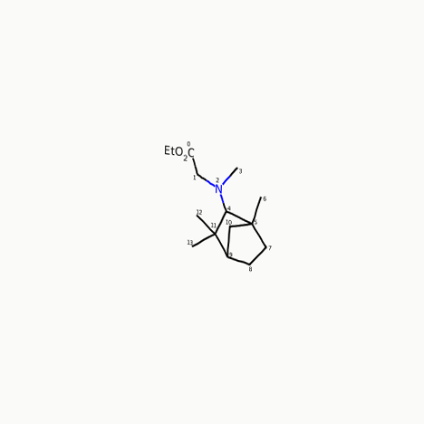 CCOC(=O)CN(C)C1C2(C)CCC(C2)C1(C)C